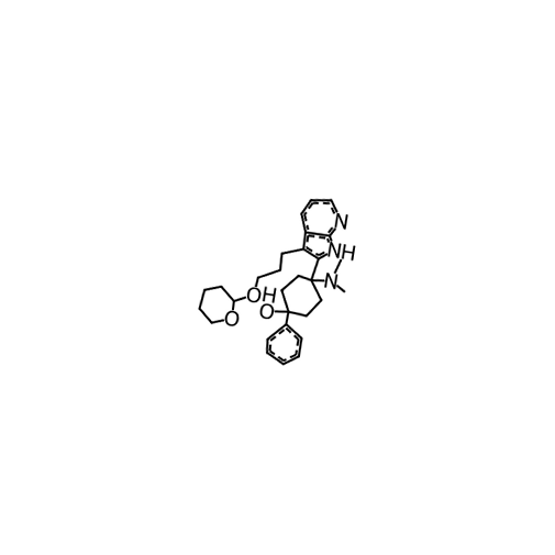 CN(C)C1(c2[nH]c3ncccc3c2CCCOC2CCCCO2)CCC(O)(c2ccccc2)CC1